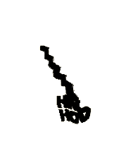 CCCCCCCCCCCCNc1ccccc1O